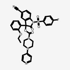 CCOc1ccccc1C1(OC(=O)N2CCN(c3ccncc3)CC2)C(=O)N(S(=O)(=O)c2ccc(F)cc2)c2ccc(C#N)cc21